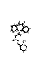 CCN1CCCCC1CCN(C)CC(=O)N1c2ccccc2C(=O)Nc2cccnc21